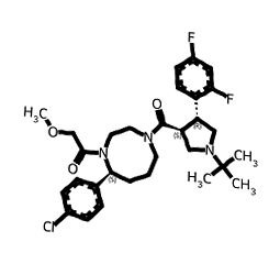 COCC(=O)N1CCN(C(=O)[C@@H]2CN(C(C)(C)C)C[C@H]2c2ccc(F)cc2F)CCC[C@H]1c1ccc(Cl)cc1